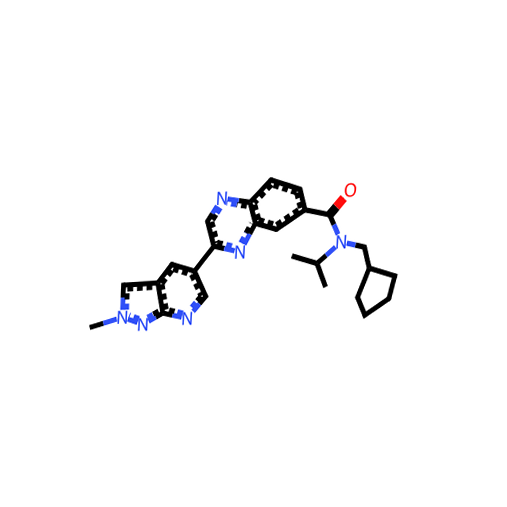 CC(C)N(CC1CCCC1)C(=O)c1ccc2ncc(-c3cnc4nn(C)cc4c3)nc2c1